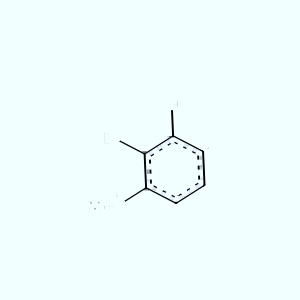 CCc1c([SiH3])cccc1OC